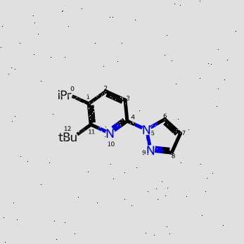 CC(C)c1ccc(-n2cccn2)nc1C(C)(C)C